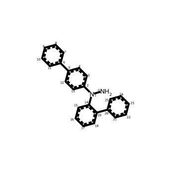 NN(c1ccc(-c2ccccc2)cc1)c1ccccc1-c1ccccc1